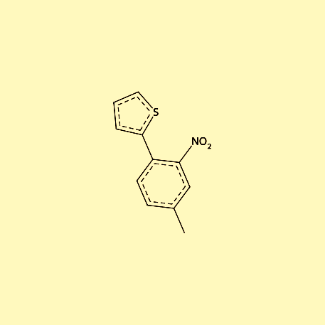 Cc1ccc(-c2cccs2)c([N+](=O)[O-])c1